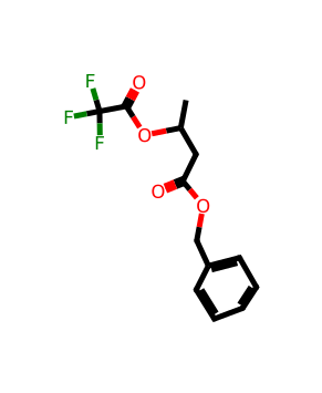 CC(CC(=O)OCc1ccccc1)OC(=O)C(F)(F)F